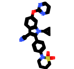 N#Cc1c(-c2ccc(N3CCCCS3(=O)=O)cc2)n(C2CC2)c2cc(Oc3ncccn3)ccc12